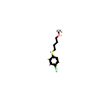 COCCCCSc1ccc(Cl)cc1